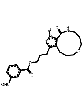 CCn1nc(CCCOC(=O)c2cccc(C=O)c2)c2c1C(=O)NCCCOCCC2